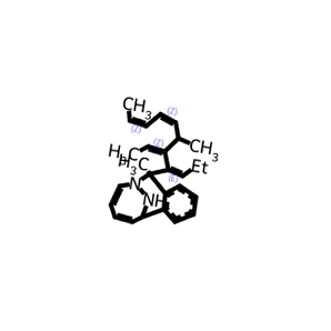 C/C=C\C=C/C(C)C(=C/C)/C(=C\CC)C1(C)c2ccccc2C2C=CC=CN1N2